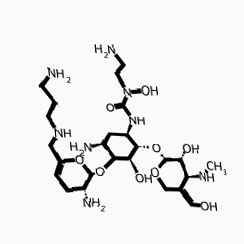 CN[C@H]1/C(=C\O)CO[C@H](O[C@H]2[C@H](NC(=O)N(O)CCN)C[C@H](N)C(O[C@H]3OC(CNCCCN)=CC[C@H]3N)[C@@H]2O)[C@@H]1O